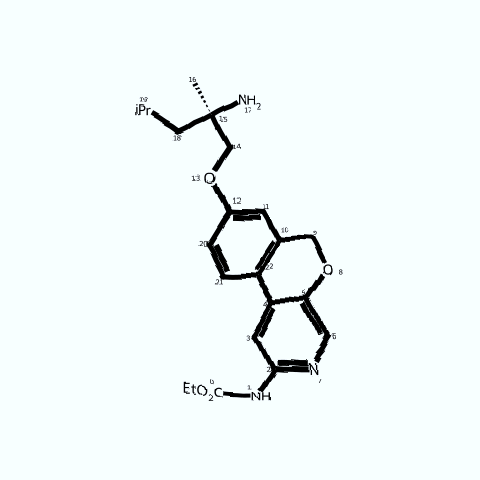 CCOC(=O)Nc1cc2c(cn1)OCc1cc(OC[C@](C)(N)CC(C)C)ccc1-2